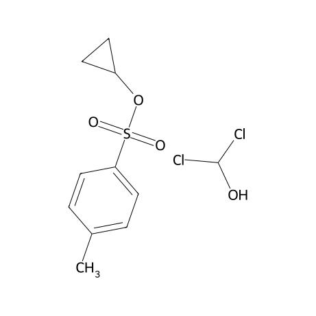 Cc1ccc(S(=O)(=O)OC2CC2)cc1.OC(Cl)Cl